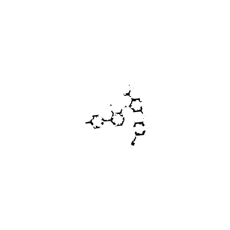 CNC(=O)c1cnc(Nc2cnc(C#N)cn2)cc1Nc1cccc(-c2ncc(F)cn2)c1OC